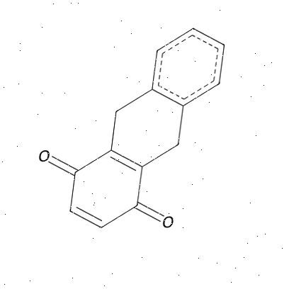 O=C1C=CC(=O)C2=C1Cc1ccccc1C2